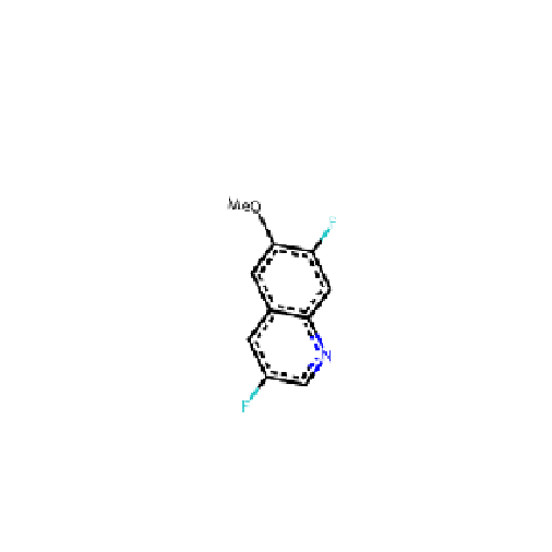 COc1cc2cc(F)cnc2cc1F